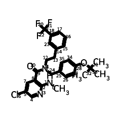 CNc1ncc(Cl)cc1C(=O)N(CCc1cccc(C(F)(F)F)c1)Cc1ccc(OC(C)(C)C)cc1